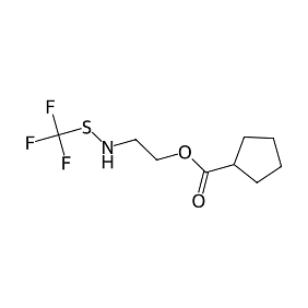 O=C(OCCNSC(F)(F)F)C1CCCC1